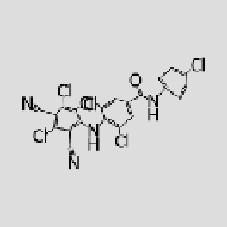 N#Cc1c(Cl)c(Cl)c(Nc2c(Cl)cc(C(=O)Nc3ccc(Cl)cc3)cc2Cl)c(C#N)c1Cl